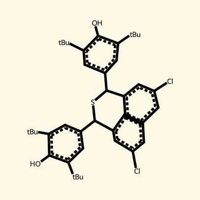 CC(C)(C)c1cc(C(SC(c2cccc(Cl)c2)c2cc(C(C)(C)C)c(O)c(C(C)(C)C)c2)c2cccc(Cl)c2)cc(C(C)(C)C)c1O